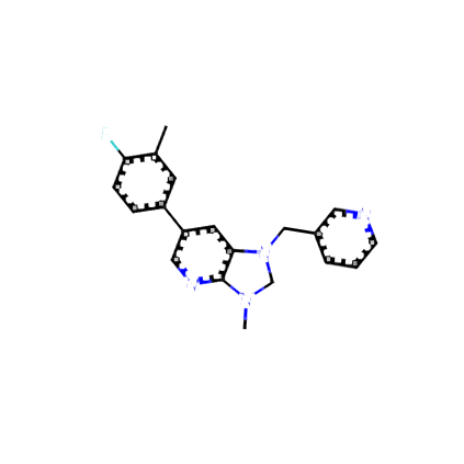 Cc1cc(-c2cnc3c(c2)N(Cc2cccnc2)CN3C)ccc1F